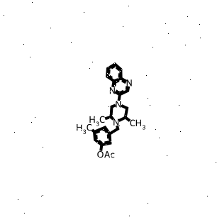 CC(=O)Oc1cc(C)cc(CN2C(C)CN(c3cnc4ccccc4n3)CC2C)c1